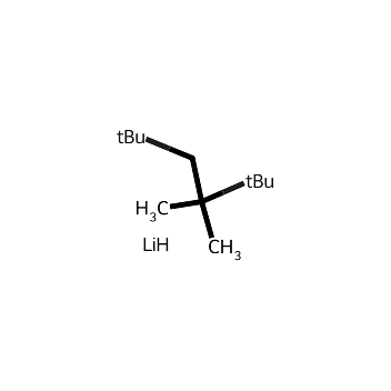 CC(C)(C)CC(C)(C)C(C)(C)C.[LiH]